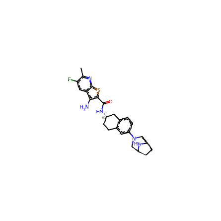 Cc1nc2sc(C(=O)N[C@H]3CCc4cc(N5CC6CCC(C5)N6)ccc4C3)c(N)c2cc1F